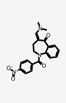 CN(C)C=C1CCN(C(=O)c2ccc([N+](=O)[O-])cc2)c2ccccc2C1=O